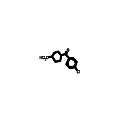 O=C(O)C1CCC(C(=O)c2ccc(Cl)cc2)CC1